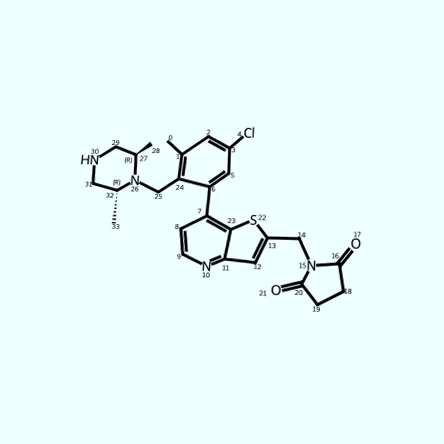 Cc1cc(Cl)cc(-c2ccnc3cc(CN4C(=O)CCC4=O)sc23)c1CN1[C@H](C)CNC[C@H]1C